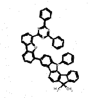 CC1(C)c2ccccc2-c2c1ccc1c3cc(-c4cccc5c4oc4c(-c6nc(-c7ccccc7)nc(-c7ccccc7)n6)cccc45)ccc3n(-c3ccccc3)c21